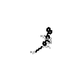 CCCCCCCOc1ccc(-c2sc3c(N)c(Cc4cccc5ccccc45)cc(=O)n3c2C(=O)O)cc1C